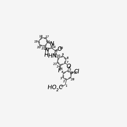 O=C(O)Cc1ccc(Oc2ccc(NC(=O)c3nc4ccccc4[nH]3)cc2F)c(Cl)c1